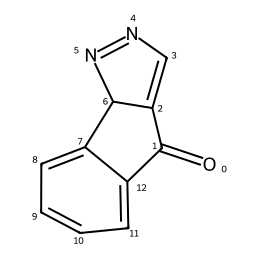 O=C1C2=CN=NC2c2ccccc21